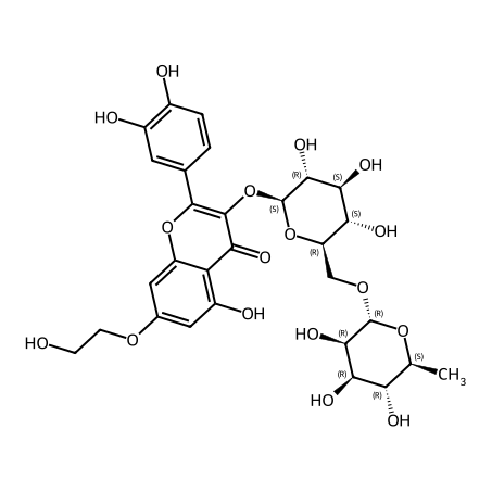 C[C@@H]1O[C@@H](OC[C@H]2O[C@@H](Oc3c(-c4ccc(O)c(O)c4)oc4cc(OCCO)cc(O)c4c3=O)[C@H](O)[C@@H](O)[C@@H]2O)[C@H](O)[C@H](O)[C@H]1O